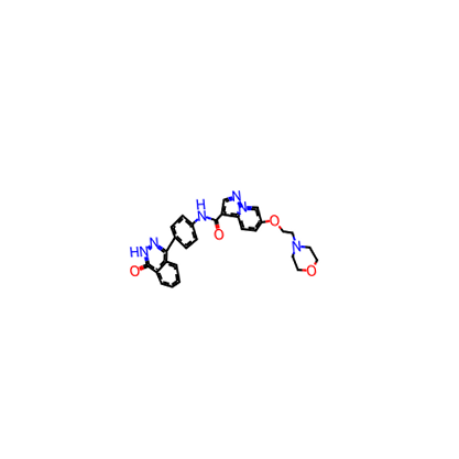 O=C(Nc1ccc(-c2n[nH]c(=O)c3ccccc23)cc1)c1cnn2cc(OCCN3CCOCC3)ccc12